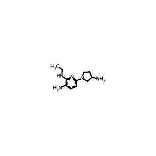 CCNc1nc(N2CCC(N)C2)ccc1N